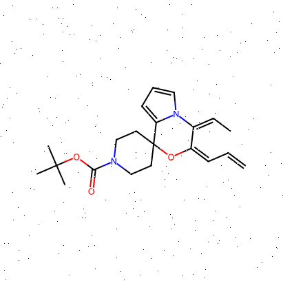 C=C/C=C1/OC2(CCN(C(=O)OC(C)(C)C)CC2)c2cccn2/C1=C/C